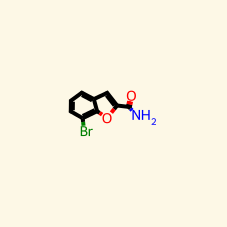 NC(=O)c1cc2cccc(Br)c2o1